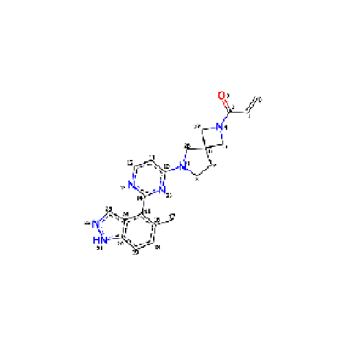 C=CC(=O)N1CC2(CCN(c3ccnc(-c4c(C)ccc5[nH]ncc45)n3)C2)C1